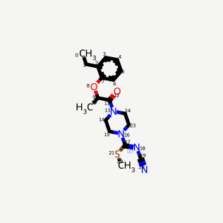 CCc1ccccc1OC(C)C(=O)N1CCN(/C(=N/C#N)SC)CC1